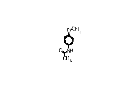 COc1c[c]c(NC(C)=O)cc1